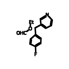 CCOC=O.Fc1ccc(Cc2cccnc2)cc1